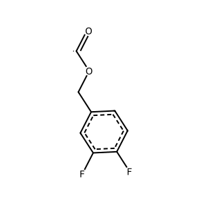 O=[C]OCc1ccc(F)c(F)c1